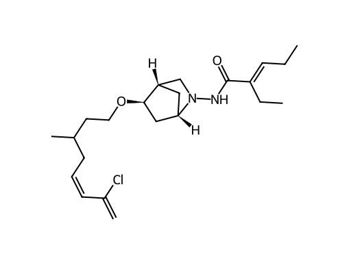 C=C(Cl)/C=C\CC(C)CCO[C@@H]1C[C@@H]2C[C@H]1CN2NC(=O)/C(=C/CC)CC